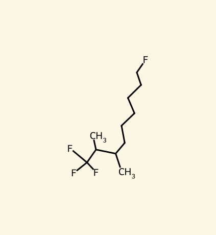 CC(CCCCCCF)C(C)C(F)(F)F